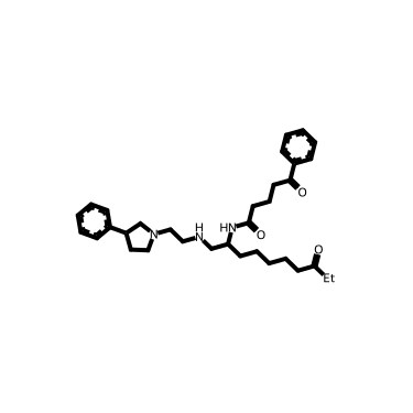 CCC(=O)CCCCCC(CNCCN1CCC(c2ccccc2)C1)NC(=O)CCCC(=O)c1ccccc1